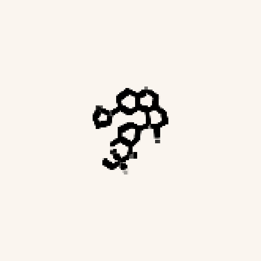 C=CS(=O)(=O)Nc1cc(-n2c(=O)ccc3cnc4ccc(-n5cccn5)cc4c32)ccc1C